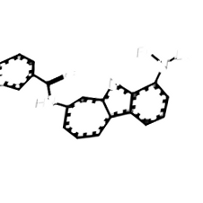 CCN(CC)c1cccc2c3cccc(NC(=O)c4cccnc4)cc-3nc12